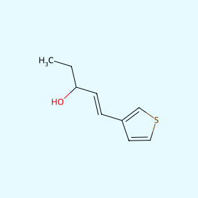 CCC(O)C=Cc1ccsc1